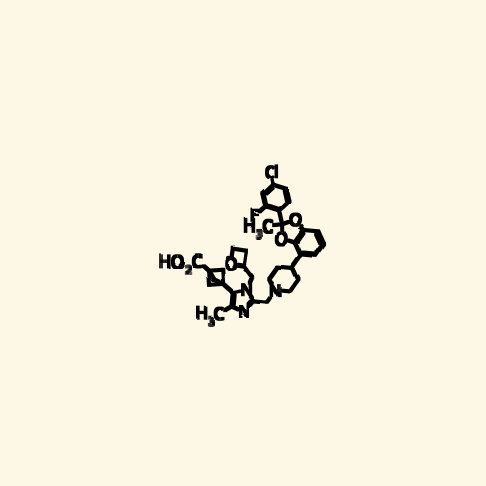 Cc1nc(CN2CCC(c3cccc4c3OC(C)(c3ccc(Cl)cc3F)O4)CC2)n(CC2CCO2)c1C12CC(C(=O)O)(C1)C2